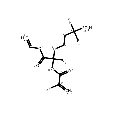 C=COC(=O)C(OCCC(F)(F)S(=O)(=O)O)(OC(=O)C(=C)F)C(F)(F)F